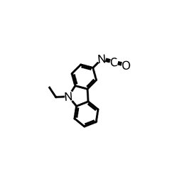 CCn1c2ccccc2c2cc(N=C=O)ccc21